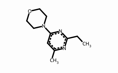 CCc1nc(C)cc(N2CCOCC2)n1